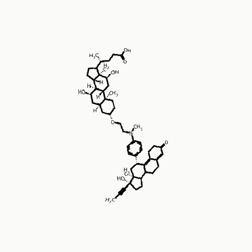 CC#C[C@]1(O)CCC2C3CCC4=CC(=O)CCC4=C3[C@@H](c3ccc(N(C)CCO[C@H]4CC[C@@]5(C)[C@@H](C4)C[C@@H](O)[C@@H]4[C@@H]5C[C@H](O)[C@]5(C)C([C@H](C)CCC(=O)O)CC[C@@H]45)cc3)C[C@@]21C